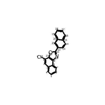 Clc1cc2ccccc2c2nc(-c3ccc4ccccc4c3)oc12